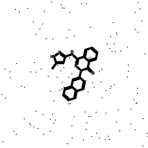 Cc1cc(Nc2nn(-c3ccc4ccccc4c3)c(=O)c3ccccc23)n[nH]1